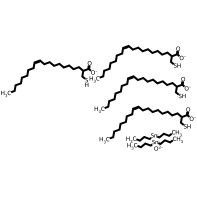 CCCCCCCC/C=C\CCCCCCCCC(CS)C(=O)[O-].CCCCCCCC/C=C\CCCCCCCCC(CS)C(=O)[O-].CCCCCCCC/C=C\CCCCCCCCC(CS)C(=O)[O-].CCCCCCCC/C=C\CCCCCCCCC(CS)C(=O)[O-].CCC[CH2][Sn][CH2]CCC.CCC[CH2][Sn][CH2]CCC.[O-2]